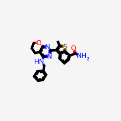 Cc1sc2c(C(N)=O)cccc2c1-c1nc(NCc2ccccc2)c2c(n1)OCCC2